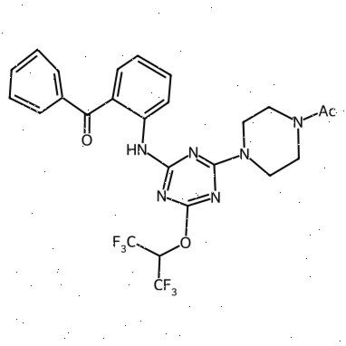 CC(=O)N1CCN(c2nc(Nc3ccccc3C(=O)c3ccccc3)nc(OC(C(F)(F)F)C(F)(F)F)n2)CC1